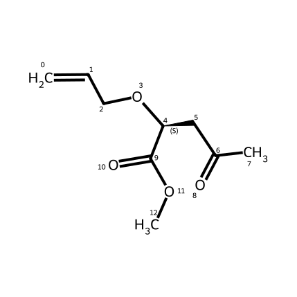 C=CCO[C@@H](CC(C)=O)C(=O)OC